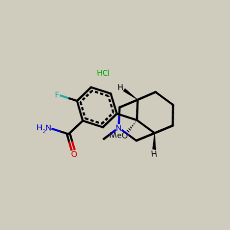 CO[C@@]1(c2ccc(F)c(C(N)=O)c2)[C@@H]2CCC[C@H]1CN(C)C2.Cl